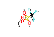 O=S(=O)(O)C(F)(F)F.[C]